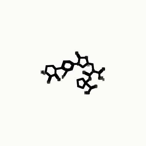 CC(=O)N(C[C@H]1CN(c2ccc(C3CC[SH4]C(=O)C3=O)c(F)c2)C(=O)O1)C(=O)OC1(C(=O)O)CCCC1